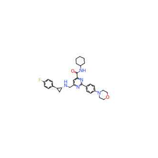 O=C(NC1CCCCC1)c1cc(CN[C@@H]2C[C@H]2c2ccc(F)cc2)nc(-c2ccc(N3CCOCC3)cc2)n1